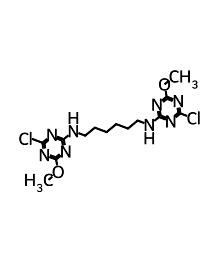 COc1nc(Cl)nc(NCCCCCCNc2nc(Cl)nc(OC)n2)n1